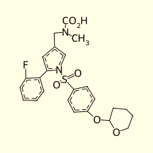 CN(Cc1cc(-c2ccccc2F)n(S(=O)(=O)c2ccc(OC3CCCCO3)cc2)c1)C(=O)O